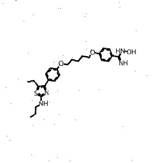 CCCNc1nc(-c2ccc(OCCCCCOc3ccc(C(=N)NO)cc3)cc2)c(CC)s1